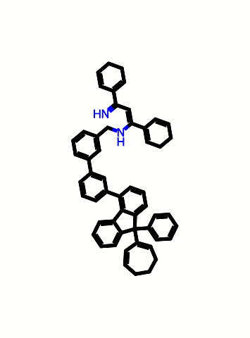 N=C(/C=C(\NCc1cccc(-c2cccc(-c3cccc4c3-c3ccccc3C4(C3=CCCCC=C3)c3ccccc3)c2)c1)C1=CCCC=C1)C1=CCCC=C1